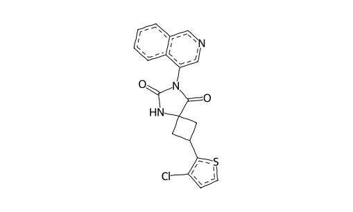 O=C1NC2(CC(c3sccc3Cl)C2)C(=O)N1c1cncc2ccccc12